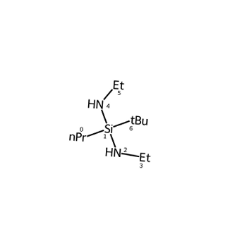 CCC[Si](NCC)(NCC)C(C)(C)C